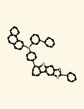 c1ccc(-c2cccc(N(c3ccc(-c4cccc5c4oc4cc6nc(-c7ccccc7)oc6cc45)cc3)c3ccc4ccc5ccccc5c4c3)c2)cc1